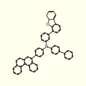 C1=CCC2Oc3c(cccc3-c3cccc(N(c4ccc(-c5ccccc5)cc4)c4ccc(-c5cc6ccc7ccccc7c6c6ccccc56)cc4)c3)C2=C1